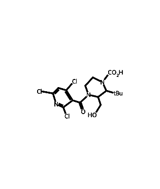 CC(C)(C)C1C(CO)N(C(=O)c2c(Cl)cc(Cl)nc2Cl)CCN1C(=O)O